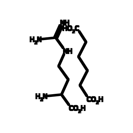 N=C(N)NCCC(N)C(=O)O.O=C(O)CCCCC(=O)O